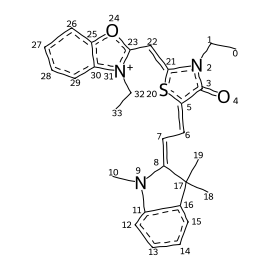 CCn1c(=O)/c(=C/C=C2/N(C)c3ccccc3C2(C)C)s/c1=C\c1oc2ccccc2[n+]1CC